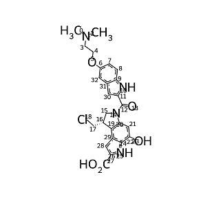 CN(C)CCOc1ccc2[nH]c(C(=O)N3C[C@@H](CCl)c4c3cc(O)c3[nH]c(C(=O)O)cc43)cc2c1